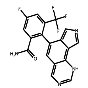 NC(=O)c1cc(F)cc(C(F)(F)F)c1-c1cc2cnc[nH]c2c2cncc12